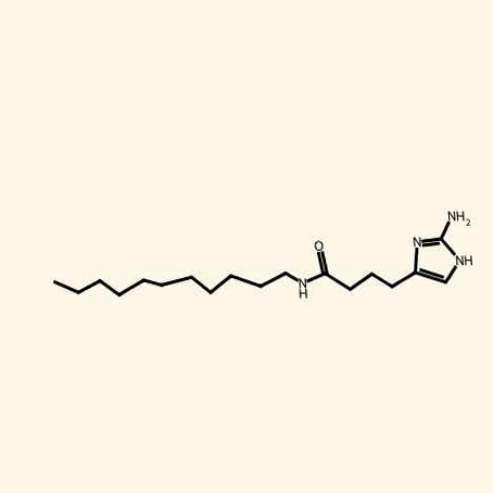 CCCCCCCCCCCNC(=O)CCCc1c[nH]c(N)n1